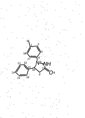 Cc1ccc(N2NC(=O)CC2c2ccccc2)cc1